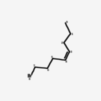 CCC/C=C\CCCBr